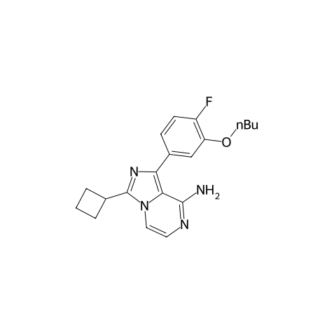 CCCCOc1cc(-c2nc(C3CCC3)n3ccnc(N)c23)ccc1F